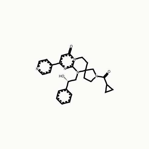 O=C(C1CC1)N1CCC2(CCn3c(nc(-c4ccncc4)cc3=O)N2C[C@@H](O)c2ccccc2)C1